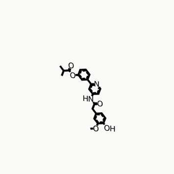 COc1cc(CC(=O)Nc2ccnc(-c3cccc(OC(=O)C(C)C)c3)c2)ccc1O